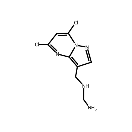 NCNCc1cnn2c(Cl)cc(Cl)nc12